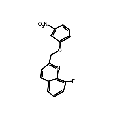 O=[N+]([O-])c1cccc(OCc2ccc3cccc(F)c3n2)c1